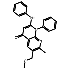 COCc1cc2c(=O)cc(Nc3ccccc3)n(-c3ccccc3)c2nc1C